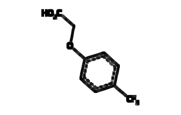 O=C(O)COc1ccc(C(F)(F)F)cc1